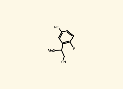 CSC(CC#N)c1cc(C#N)ccc1F